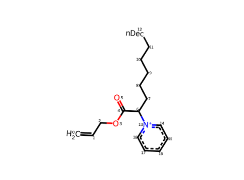 C=CCOC(=O)C(CCCCCCCCCCCCCCC)[n+]1ccccc1